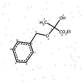 CCOC(=O)C(C)(O)OCc1ccccc1